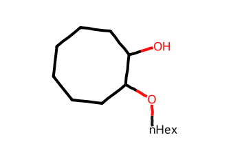 CCCCCCOC1CCCCCCC1O